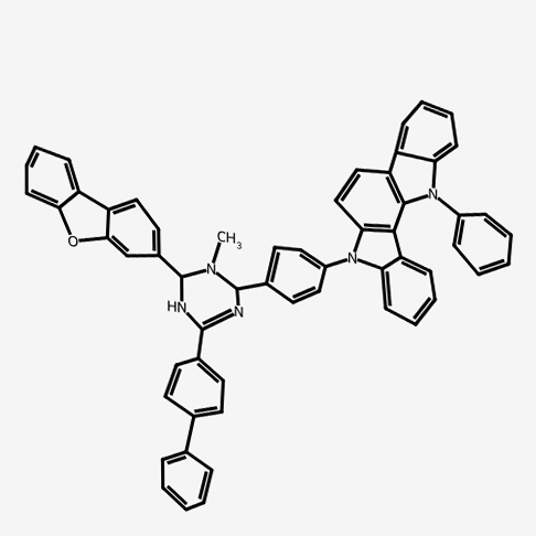 CN1C(c2ccc(-n3c4ccccc4c4c3ccc3c5ccccc5n(-c5ccccc5)c34)cc2)N=C(c2ccc(-c3ccccc3)cc2)NC1c1ccc2c(c1)oc1ccccc12